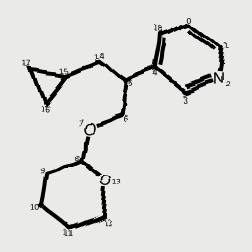 c1cncc(C(COC2CCCCO2)CC2CC2)c1